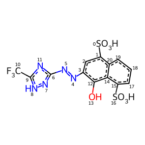 O=S(=O)(O)c1cc(N=Nc2n[nH]c(C(F)(F)F)n2)c(O)c2c(S(=O)(=O)O)cccc12